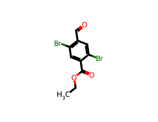 CCOC(=O)c1cc(Br)c(C=O)cc1Br